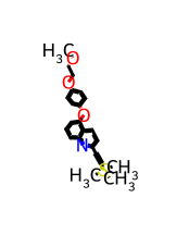 COCCOc1ccc(Oc2cccc3nc(C#CS(C)(C)C)ccc23)cc1